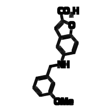 COc1cccc(CNc2ccc3oc(C(=O)O)cc3c2)c1